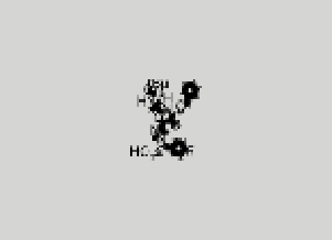 CC(C)(C)OC(=O)NC(C)(C)C(=O)N[C@H](COCc1ccccc1)C(=O)Cc1cn(C(C(=O)O)c2ccc(F)cc2)cn1